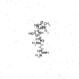 CC(C)[C@H](NC(=O)[C@H](CC(=O)O)NCCNC(=O)[C@@H](N)CCCNC(=N)N)C(=O)O